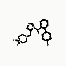 CC(c1ccccc1-c1ccc(F)cc1)n1cncc1CN1CCS(=O)(=O)CC1